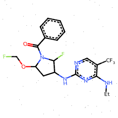 CCNc1nc(NC2CC(OCF)N(C(=O)c3ccccc3)C2F)ncc1C(F)(F)F